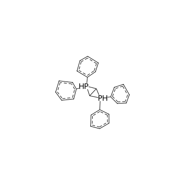 c1ccc([PH]2(c3ccccc3)C3C2[PH]3(c2ccccc2)c2ccccc2)cc1